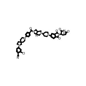 N#Cc1ccc(N2CCC3(CCN(c4ccc(C(=O)N5CC6CN(C7CCN(c8ccc9c(c8)C(=O)N(C8CCC(=O)NC8=O)C9=O)CC7)C[C@@H]6C5)cc4)CC3)C2)cc1Cl